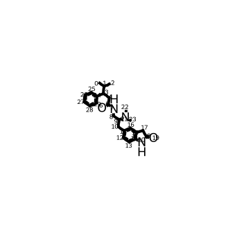 CC(C)C(CC(=O)NCC(Cc1ccc2c(c1)CC(=O)N2)N(C)C)c1ccccc1